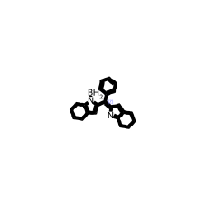 Bn1c(/C(=C2/C=C3CCCCC3=N2)c2ccccc2)cc2c1CCCC2